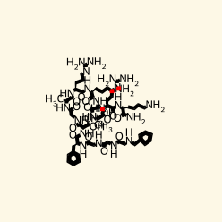 C[C@H](NC(=O)CNC(=O)[C@@H](NC(=O)[C@H](Cc1ccccc1)NC(=O)CNC(=O)CNC(=O)CNCc1ccccc1)[C@@H](C)O)C(=O)N[C@@H](CCCN=C(N)N)C(=O)N[C@@H](CCCCN)C(=O)N[C@@H](CO)C(=O)N[C@@H](C)C(=O)N[C@@H](CCCN=C(N)N)C(=O)N[C@@H](CCCCN)C(N)=O